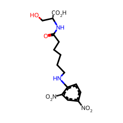 O=C(CCCCCNc1ccc([N+](=O)[O-])cc1[N+](=O)[O-])N[C@@H](CO)C(=O)O